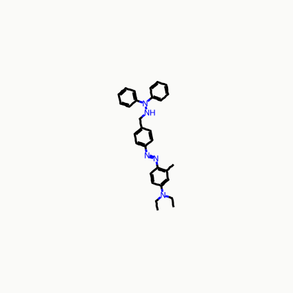 CCN(CC)c1ccc(N=Nc2ccc(CNN(c3ccccc3)c3ccccc3)cc2)c(C)c1